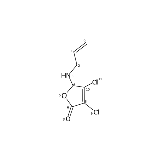 C=CCNC1OC(=O)C(Cl)=C1Cl